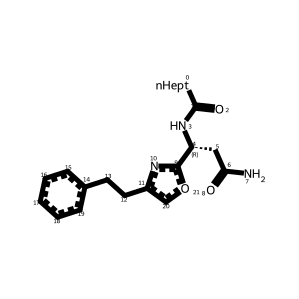 CCCCCCCC(=O)N[C@H](CC(N)=O)c1nc(CCc2ccccc2)co1